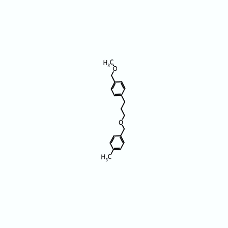 COCc1ccc(CCCOCc2ccc(C)cc2)cc1